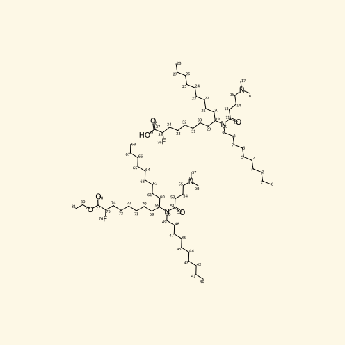 CCCCCCCCCCN(C(=O)CCCN(C)C)C(CCCCCCCCC)CCCCCCC(F)C(=O)O.CCCCCCCCCCN(C(=O)CCCN(C)C)C(CCCCCCCCC)CCCCCCC(F)C(=O)OCC